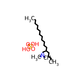 CCCCCCCCCCCCC(CCCC)CN(C)C.O=S(=O)(O)O